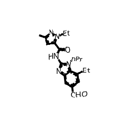 CCCn1c(NC(=O)c2cc(C)nn2CC)nc2cc(C=O)cc(CC)c21